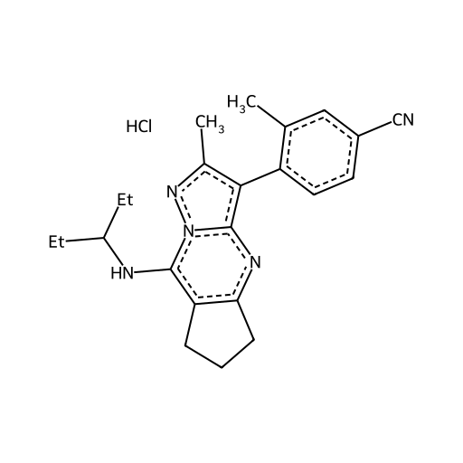 CCC(CC)Nc1c2c(nc3c(-c4ccc(C#N)cc4C)c(C)nn13)CCC2.Cl